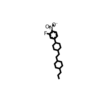 CCCC1CCC(CCC2CCC(c3ccc([N+](=O)[O-])c(F)c3)CC2)CC1